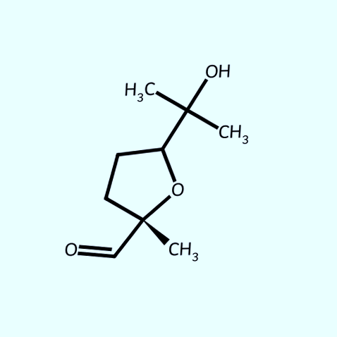 CC(C)(O)C1CC[C@@](C)(C=O)O1